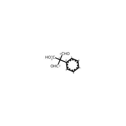 O=CC(C=O)(C(=O)O)c1ccccc1